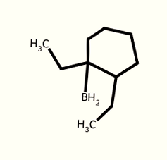 BC1(CC)CCCCC1CC